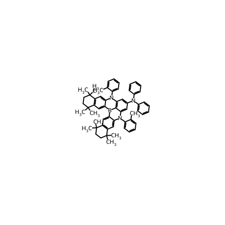 Cc1ccccc1N1c2cc3c(cc2B2c4cc5c(cc4N(c4ccccc4C)c4cc(N(c6ccccc6)c6ccccc6)cc1c42)C(C)(C)CCC5(C)C)C(C)(C)CCC3(C)C